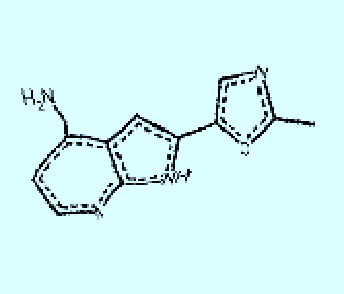 Cc1ncc(-c2cc3c(N)ccnc3[nH]2)o1